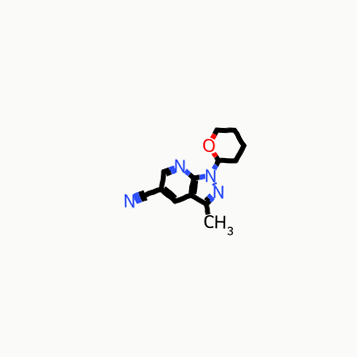 Cc1nn(C2CCCCO2)c2ncc(C#N)cc12